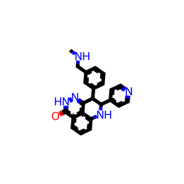 CNCc1cccc(C2c3n[nH]c(=O)c4cccc(c34)NC2c2ccncc2)c1